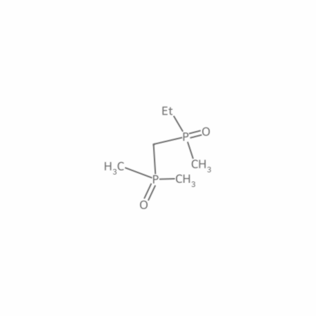 CCP(C)(=O)CP(C)(C)=O